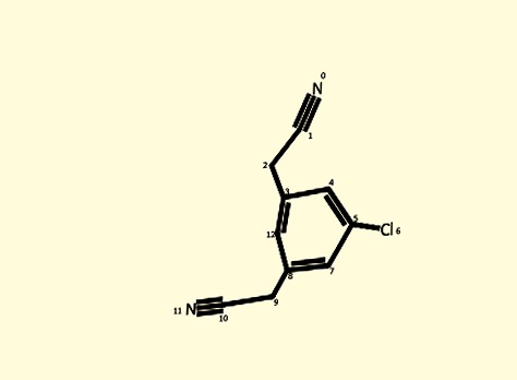 N#CCc1cc(Cl)cc(CC#N)c1